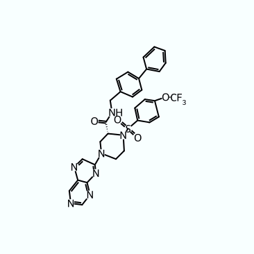 O=C(NCc1ccc(-c2ccccc2)cc1)[C@H]1CN(c2cnc3cncnc3n2)CCN1S(=O)(=O)c1ccc(OC(F)(F)F)cc1